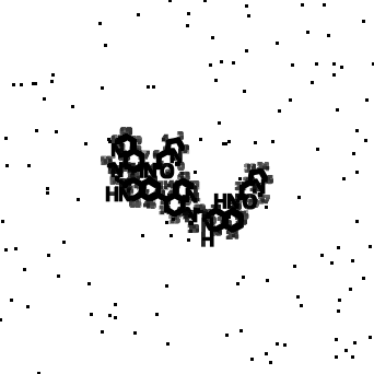 CN1CCCC1CC(=O)Nc1cc(C2CC[C@H](N(C)C[C@@H]3Cc4c(cccc4NC(=O)CC4CCCN4C)CN3)c3ncccc32)cc2c1C[C@H](CN(C)[C@H]1CCCc3cccnc31)NC2